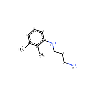 Cc1c[c]cc(NCCCN)c1C